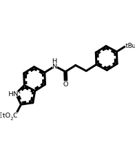 CCOC(=O)c1cc2cc(NC(=O)CCc3ccc(C(C)(C)C)cc3)ccc2[nH]1